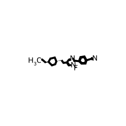 CCC[C@H]1CC[C@H](CCC2=CN(F)C(c3ccc(C#N)cc3)N=C2)CC1